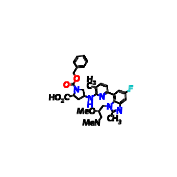 CNCC(Cn1c(C)nc2cc(F)cc(-c3ccc(C)c(N[C@H]4C[C@@H](C(=O)O)N(C(=O)OCc5ccccc5)C4)n3)c21)OC